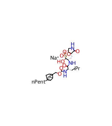 CCCCCC12CCC(COC(=O)N[C@@H](CC(C)C)C(=O)N[C@@H](C[C@@H]3CCNC3=O)C(O)S(=O)(=O)[O-])(CC1)CC2.[Na+]